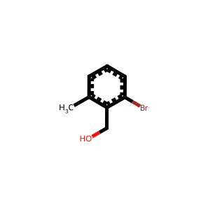 Cc1cccc(Br)c1CO